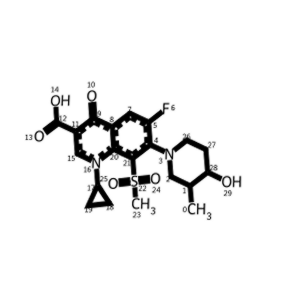 CC1CN(c2c(F)cc3c(=O)c(C(=O)O)cn(C4CC4)c3c2S(C)(=O)=O)CCC1O